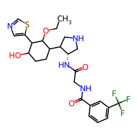 CCOC1C(C2CNC[C@@H]2NC(=O)CNC(=O)c2cccc(C(F)(F)F)c2)CCC(O)C1c1cncs1